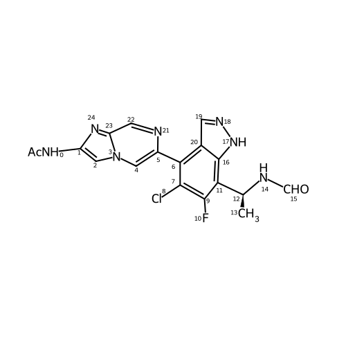 CC(=O)Nc1cn2cc(-c3c(Cl)c(F)c([C@H](C)NC=O)c4[nH]ncc34)ncc2n1